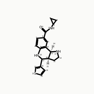 O=C(NC1CC1)c1ccc2c(c1)[C@H]1NCC[C@H]1C(c1ccsc1)N2